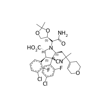 CC1(C)OC[C@H](C(C(N)=O)N2[C@@H](CC(C)(C)C3=CCOCC3)[C@](C#N)(c3ccc(Cl)cc3F)[C@@H](c3cccc(Cl)c3F)[C@@H]2C(=O)O)O1